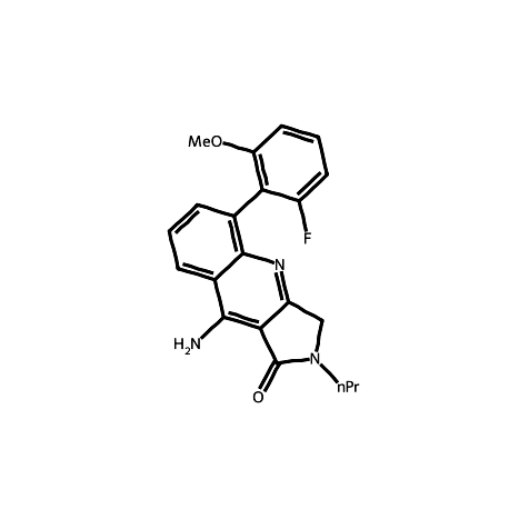 CCCN1Cc2nc3c(-c4c(F)cccc4OC)cccc3c(N)c2C1=O